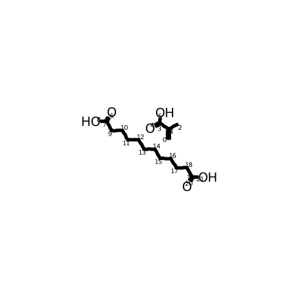 C=C(C)C(=O)O.O=C(O)CCCCCCCCCCC(=O)O